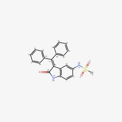 CCS(=O)(=O)Nc1ccc2c(c1)C(=C(c1ccccc1)c1ccccc1)C(=O)N2